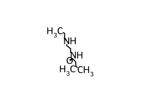 CCCNCCCNC(=O)CC(C)C